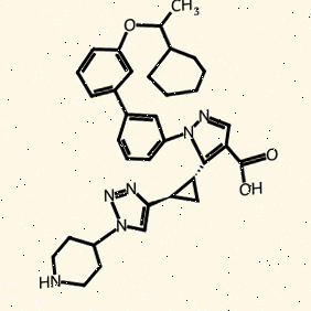 CC(Oc1cccc(-c2cccc(-n3ncc(C(=O)O)c3[C@@H]3C[C@H]3c3cn(C4CCNCC4)nn3)c2)c1)C1CCCCC1